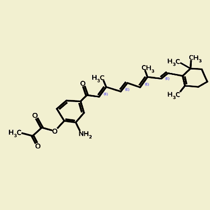 CC(=O)C(=O)Oc1ccc(C(=O)/C=C(C)/C=C/C=C(C)/C=C/C2=C(C)CCCC2(C)C)cc1N